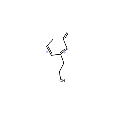 C=C/N=C(\C=C/C)CCO